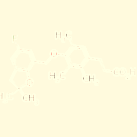 Cc1cc(CCC(=O)O)c(C)c(C)c1OCc1cc(F)cc2c1OC(C)(C)C2